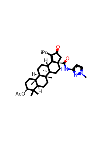 CC(=O)O[C@H]1CC[C@]2(C)[C@H]3CC[C@@H]4C5=C(C(C)C)C(=O)C[C@]5(C(=O)Nc5ccn(C)n5)CC[C@@]4(C)[C@]3(C)CC[C@H]2C1(C)C